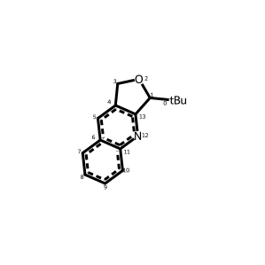 CC(C)(C)C1OCc2cc3ccccc3nc21